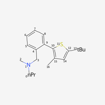 CCCN(C)Cc1ccccc1-c1sc(C(C)(C)C)cc1C